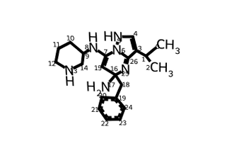 CC(C)C1=CNN2C(NC3CCCNC3)=CC(N)(Cc3ccccc3)N=C12